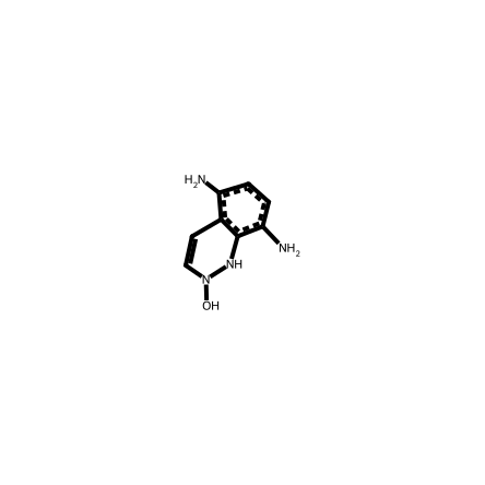 Nc1ccc(N)c2c1C=CN(O)N2